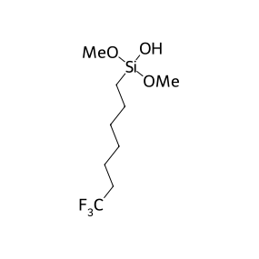 CO[Si](O)(CCCCCCC(F)(F)F)OC